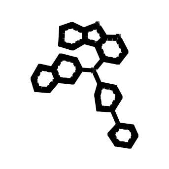 c1ccc(-c2ccc(N(c3ccc4ccccc4c3)c3ccnc4sc5ccccc5c34)cc2)cc1